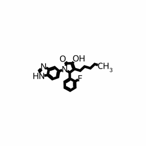 CCCCCC1=C(O)C(=O)N(c2ccc3[nH]cnc3c2)C1c1ccccc1F